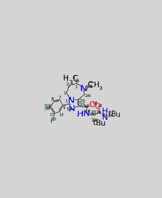 CC1CCn2c(-c3ccc(F)c(F)c3)nc(C(=O)N[C@H](C(=O)NC(C)(C)C)C(C)(C)C)c2CN1C